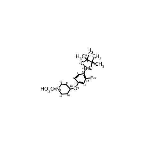 CC1(C)OB(c2ccc(OC3CCN(C(=O)O)CC3)cc2F)OC1(C)C